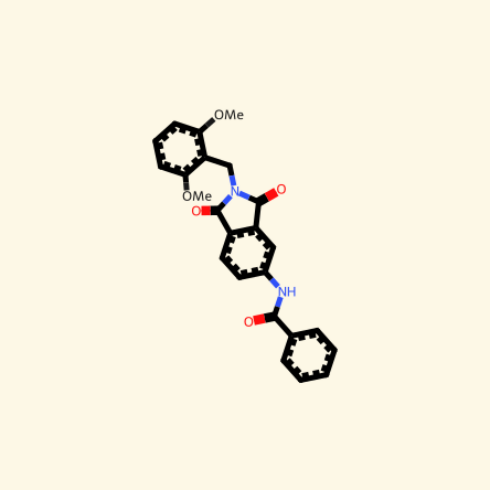 COc1cccc(OC)c1CN1C(=O)c2ccc(NC(=O)c3ccccc3)cc2C1=O